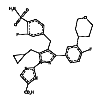 NS(=O)(=O)c1ccc(Cc2c(-c3ccc(F)c(C4CCOCC4)c3)nn(-c3nc(C(=O)O)cs3)c2CC2CC2)cc1F